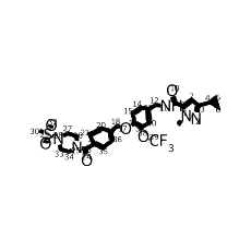 Cn1nc(C2CC2)cc1C(=O)NCc1ccc(OCc2ccc(C(=O)N3CCN(S(C)(=O)=O)CC3)cc2)c(OC(F)(F)F)c1